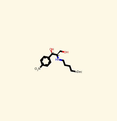 CCCCCCCCCCCCCCN[C@H](CO)[C@H](O)c1ccc([N+](=O)[O-])cc1